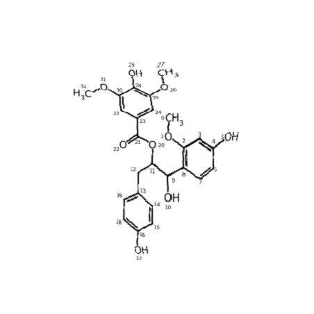 COc1cc(O)ccc1C(O)C(Cc1ccc(O)cc1)OC(=O)c1cc(OC)c(O)c(OC)c1